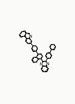 c1ccc(-c2ccc(-c3nc4ccccc4nc3-c3ccc(-c4ccc(-c5ccc6c(c5)ncc5ccccc56)cc4)c4ccccc34)cc2)cc1